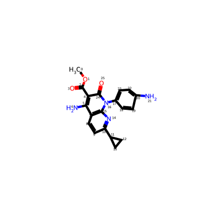 COC(=O)c1c(N)c2ccc(C3CC3)nc2n(-c2ccc(N)cc2)c1=O